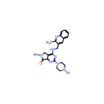 CC(=O)N1CCN(c2nc(NCc3cc4ccccc4nc3C)c3c(n2)C(=O)N(C(C)C)C3)CC1